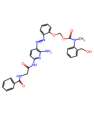 CN(C(=O)OCOc1ccccc1/N=N/c1ccc(NC(=O)CNC(=O)c2ccccc2)nc1N)c1ccccc1CO